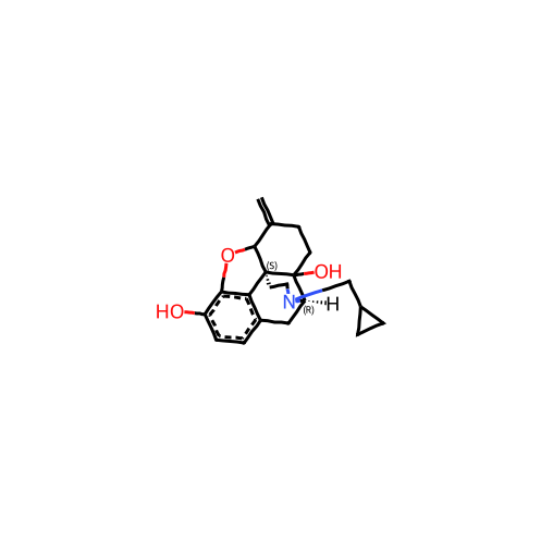 C=C1CCC2(O)[C@H]3Cc4ccc(O)c5c4[C@@]2(CCN3CC2CC2)C1O5